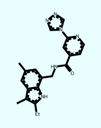 CCc1[nH]c2c(CNC(=O)c3ccnc(-n4cnnc4)c3)cc(C)cc2c1C